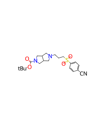 CC(C)(C)OC(=O)N1CC2CN(CCCS(=O)(=O)c3ccc(C#N)cc3)CC2C1